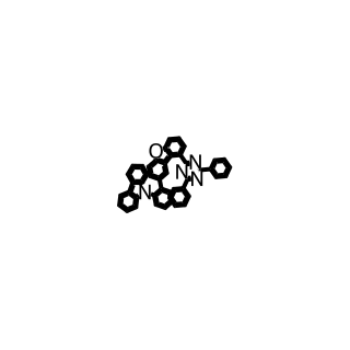 c1ccc(-c2nc(-c3ccccc3)nc(-c3cccc4oc5ccc(-c6ccccc6-n6c7ccccc7c7ccccc76)cc5c34)n2)cc1